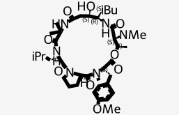 CC[C@H](C)[C@H]1NC(=O)[C@@H](NC)[C@@H](C)OC(=O)[C@H](Cc2ccc(OC)cc2)N(C)C(=O)[C@@H]2CCCN2C(=O)[C@H](CC(C)C)NC(=O)C(C)(C)NC(=O)C[C@@H]1O